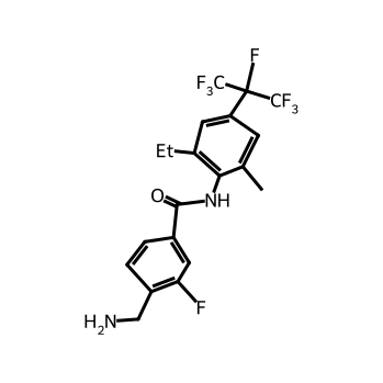 CCc1cc(C(F)(C(F)(F)F)C(F)(F)F)cc(C)c1NC(=O)c1ccc(CN)c(F)c1